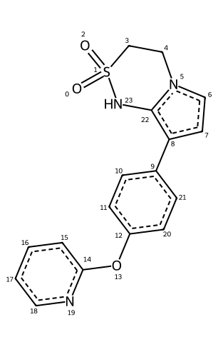 O=S1(=O)CCn2ccc(-c3ccc(Oc4ccccn4)cc3)c2N1